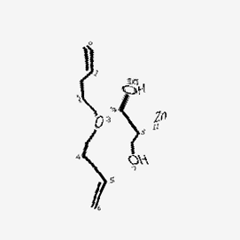 C=CCOCC=C.OCCO.[Zn]